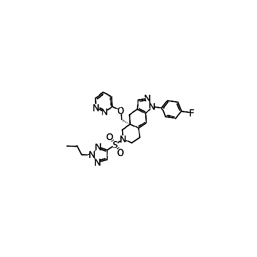 CCCn1ncc(S(=O)(=O)N2CCC3=Cc4c(cnn4-c4ccc(F)cc4)C[C@]3(COc3cccnn3)C2)n1